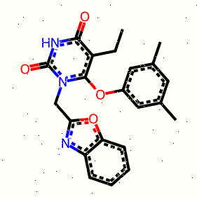 CCc1c(Oc2cc(C)cc(C)c2)n(Cc2nc3ccccc3o2)c(=O)[nH]c1=O